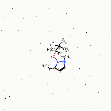 CCC1C=CN(C)N1O[Si](C)(C)C(C)(C)C